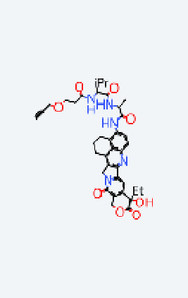 C#CCOCCC(=O)N[C@H](C(=O)N[C@@H](C)C(=O)Nc1ccc2nc3c(c4c2c1CCC4)Cn1c-3cc2c(c1=O)COC(=O)[C@]2(O)CC)C(C)C